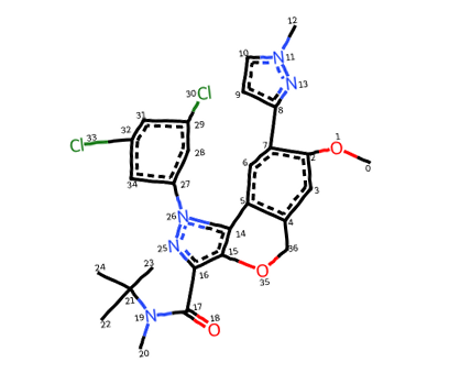 COc1cc2c(cc1-c1ccn(C)n1)-c1c(c(C(=O)N(C)C(C)(C)C)nn1-c1cc(Cl)cc(Cl)c1)OC2